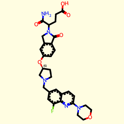 NC(=O)C(CCC(=O)O)N1Cc2cc(O[C@H]3CCN(Cc4cc(F)c5nc(N6CCOCC6)ccc5c4)C3)ccc2C1=O